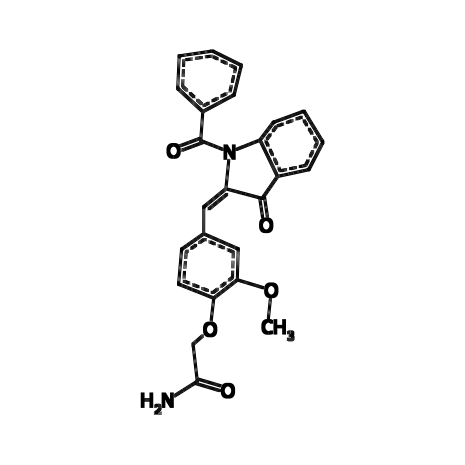 COc1cc(C=C2C(=O)c3ccccc3N2C(=O)c2ccccc2)ccc1OCC(N)=O